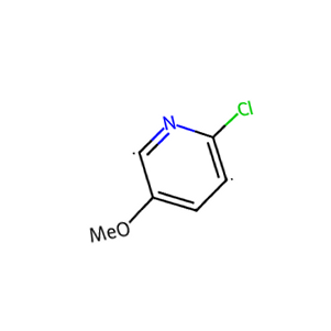 COc1[c]nc(Cl)[c]c1